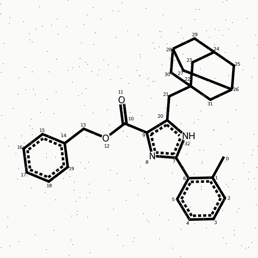 Cc1ccccc1-c1nc(C(=O)OCc2ccccc2)c(CC23CC4CC(CC(C4)C2)C3)[nH]1